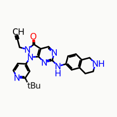 C#CCn1c(=O)c2cnc(Nc3ccc4c(c3)CCNC4)nc2n1-c1ccnc(C(C)(C)C)c1